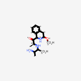 CC(N)C(N[C@@H](C)C(=O)C1NC(OC(=O)O)Cc2ccccc21)C(=O)O